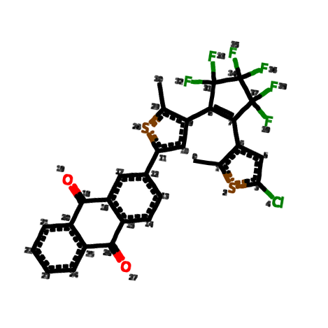 Cc1sc(Cl)cc1C1=C(c2cc(-c3ccc4c(c3)C(=O)c3ccccc3C4=O)sc2C)C(F)(F)C(F)(F)C1(F)F